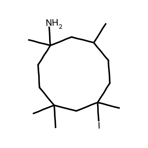 CC1CCC(C)(I)CC(C)(C)CCC(C)(N)C1